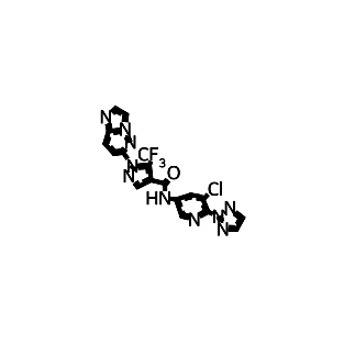 O=C(Nc1cnc(-n2nccn2)c(Cl)c1)c1cnn(-c2ccc3nccn3n2)c1C(F)(F)F